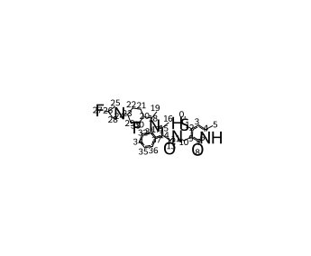 CSc1cc(C)[nH]c(=O)c1CNC(=O)c1c(C)n(C(C)C2CCC(N3CC(F)C3)CC2)c2c(F)cccc12